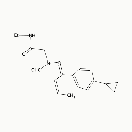 C/C=C\C(=N/N(C=O)CC(=O)NCC)c1ccc(C2CC2)cc1